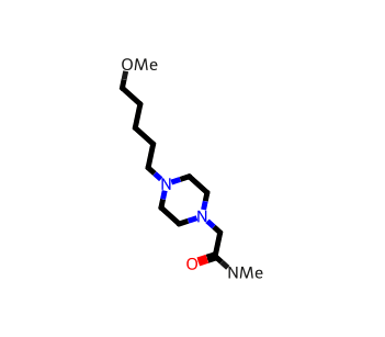 CNC(=O)CN1CCN(CCCCCOC)CC1